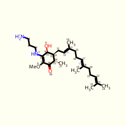 COC1=C(NCCCN)[C@@H](O)[C@@H](C/C=C(\C)CC/C=C(\C)CCC=C(C)C)[C@H](C)C1=O